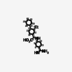 CCc1cc(C(Nc2ccc(C(=N)N)cc2)C(=O)O)ccc1-c1ccccc1